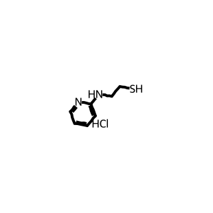 Cl.SCCNc1ccccn1